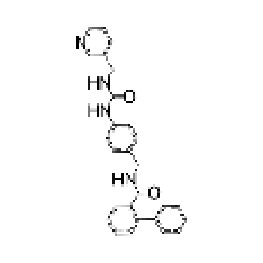 O=C(NCc1cccnc1)Nc1ccc(CNC(=O)c2ccccc2-c2ccccc2)cc1